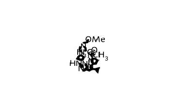 COCCN1CCN(c2ccc(Nc3ncc4cc(C5CC5)n(-c5cccc(N=S(C)(C)=O)n5)c4n3)cc2)CC1